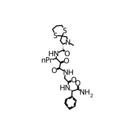 CCCC(NC(=O)[C@@H]1CC2(CN1C)SCCCS2)C(=O)C(=O)NCC(=O)N[C@H](C(N)=O)c1ccccc1